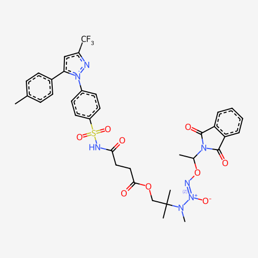 Cc1ccc(-c2cc(C(F)(F)F)nn2-c2ccc(S(=O)(=O)NC(=O)CCC(=O)OCC(C)(C)N(C)/[N+]([O-])=N/OC(C)N3C(=O)c4ccccc4C3=O)cc2)cc1